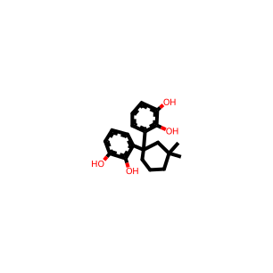 CC1(C)CCCC(c2cccc(O)c2O)(c2cccc(O)c2O)C1